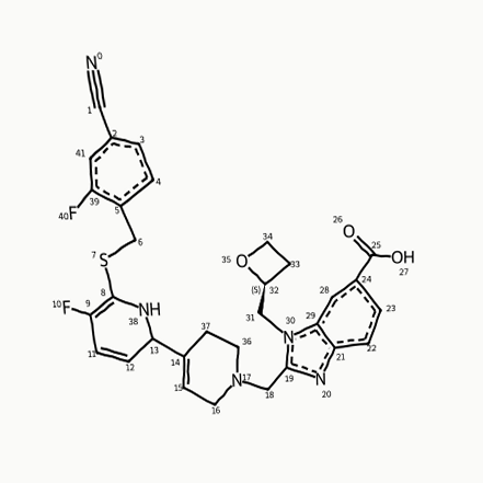 N#Cc1ccc(CSC2=C(F)C=CC(C3=CCN(Cc4nc5ccc(C(=O)O)cc5n4C[C@@H]4CCO4)CC3)N2)c(F)c1